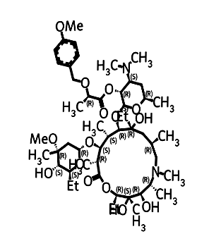 CC[C@@H]1O[C@@H](O[C@H]2[C@H](C)[C@@H](O[C@@H]3O[C@H](C)C[C@H](N(C)C)[C@H]3OC(=O)[C@@H](C)OCc3ccc(OC)cc3)[C@@](O)(CC)C[C@@H](C)CN(C)[C@H](C)[C@@H](O)[C@](C)(O)[C@@H](CC)OC(=O)[C@@H]2C)C[C@@](C)(OC)[C@H]1O